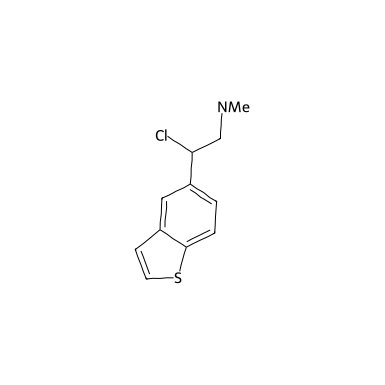 CNCC(Cl)c1ccc2sccc2c1